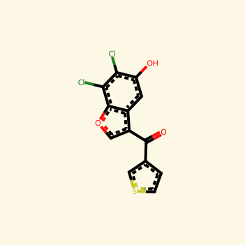 O=C(c1ccsc1)c1coc2c(Cl)c(Cl)c(O)cc12